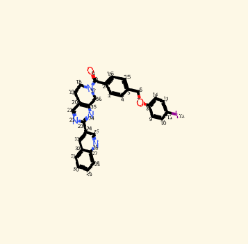 O=C(c1ccc(COc2ccc(I)cc2)cc1)N1CCc2cnc(-c3cnc4ccccc4c3)nc2C1